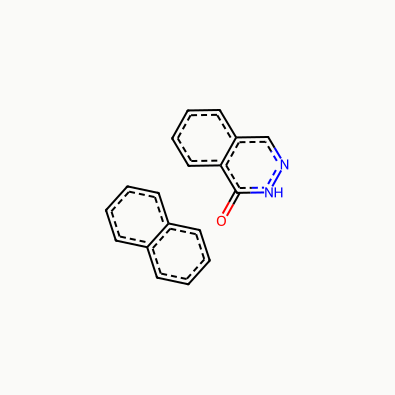 O=c1[nH]ncc2ccccc12.c1ccc2ccccc2c1